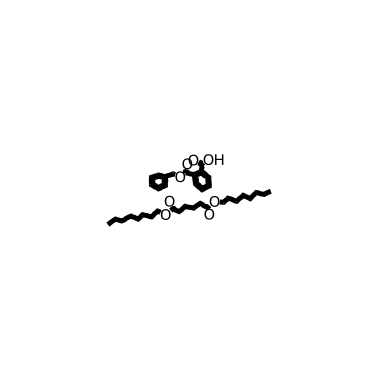 CCCCCCCCOC(=O)CCCCC(=O)OCCCCCCCC.O=C(O)c1ccccc1C(=O)OCc1ccccc1